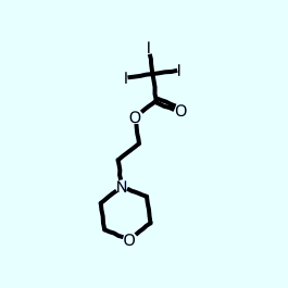 O=C(OCCN1CCOCC1)C(I)(I)I